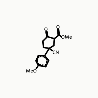 COC(=O)C1CC(C#N)(c2ccc(OC)cc2)CCC1=O